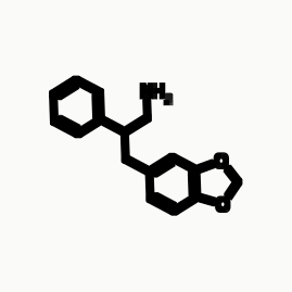 NCC(Cc1ccc2c(c1)OCO2)c1ccccc1